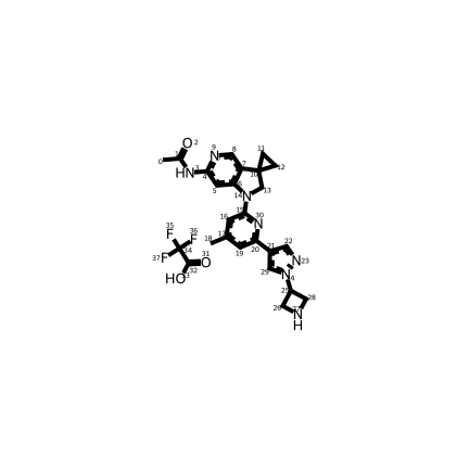 CC(=O)Nc1cc2c(cn1)C1(CC1)CN2c1cc(C)cc(-c2cnn(C3CNC3)c2)n1.O=C(O)C(F)(F)F